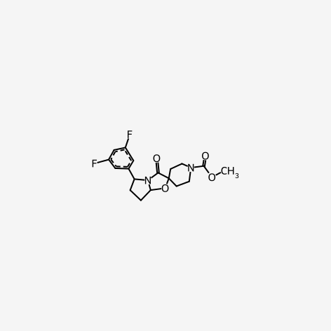 COC(=O)N1CCC2(CC1)OC1CCC(c3cc(F)cc(F)c3)N1C2=O